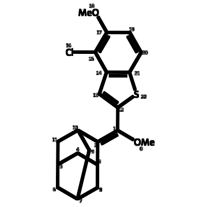 COC(=C1C2CC3CC(C2)CC1C3)c1cc2c(Cl)c(OC)ccc2s1